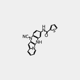 N#CN1c2ccc(NC(=O)c3cccs3)cc2Nc2c1cc1ccccn21